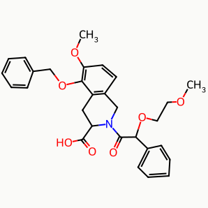 COCCOC(C(=O)N1Cc2ccc(OC)c(OCc3ccccc3)c2CC1C(=O)O)c1ccccc1